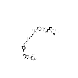 Cn1ccc(-c2nc(N[C@H]3CC[C@H](NC(=O)CCCCCCNCC(=O)NCc4ccc(COc5cccc6c5CN(C5CCC(=O)NC5=O)C6=O)cc4)CC3)ncc2Cl)c1CC1CC1